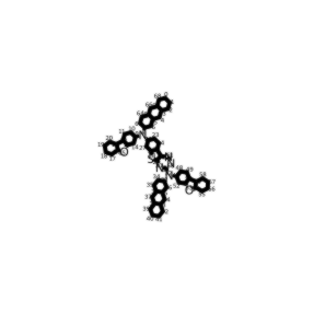 c1ccc2cc3cc(N(c4ccc5c(c4)oc4ccccc45)c4ccc5c(c4)sc4nc(N(c6ccc7cc8ccccc8cc7c6)c6ccc7c(c6)oc6ccccc67)nnc45)ccc3cc2c1